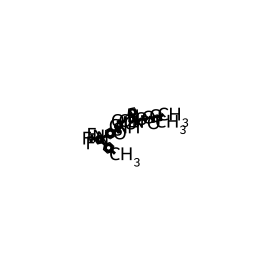 Cc1ccc(-c2cc(C(F)(F)F)nn2-c2ccc(S(=O)(=O)NC(=O)OC[C@@H]3CCCN3/[N+]([O-])=N\OCOC(=O)OC(C)C)cc2)cc1